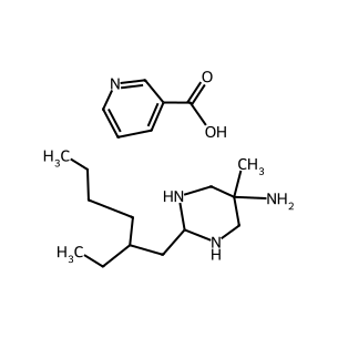 CCCCC(CC)CC1NCC(C)(N)CN1.O=C(O)c1cccnc1